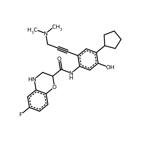 CN(C)CC#Cc1cc(C2CCCC2)c(O)cc1NC(=O)C1CNc2cc(F)ccc2O1